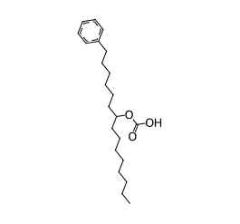 CCCCCCCCC(CCCCCCc1ccccc1)OC(=O)O